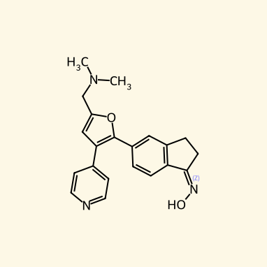 CN(C)Cc1cc(-c2ccncc2)c(-c2ccc3c(c2)CC/C3=N/O)o1